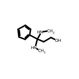 CNC(CCO)(NC)c1ccccc1